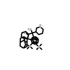 C[Si](C)(C)[C]12[CH]3[C]4(C(P)(C5CCCNC5)C5CCCNC5)[C]5(C6(CP)C7CC8CC(C7)CC6C8)[C]1([Si](C)(C)C)[Fe]34521678[CH]2[CH]1[CH]6[CH]7[CH]28